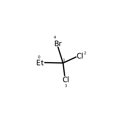 [CH2]CC(Cl)(Cl)Br